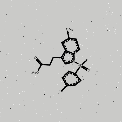 COC(=O)CCc1cn([SH](C)(=O)c2ccc(Cl)cc2)c2ccc(OC)cc12